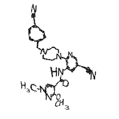 COc1nn(C)cc1C(=O)Nc1cc(C#N)cnc1N1CCN(Cc2ccc(C#N)cc2)CC1